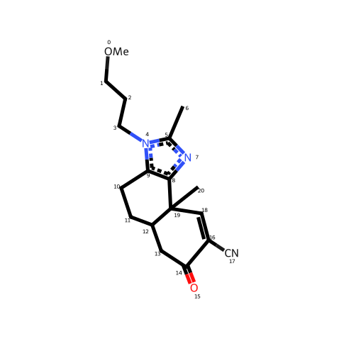 COCCCn1c(C)nc2c1CCC1CC(=O)C(C#N)=CC21C